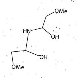 COCC(O)NC(O)COC